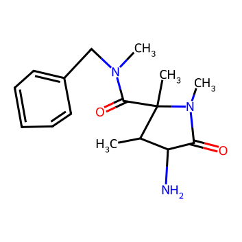 CC1C(N)C(=O)N(C)C1(C)C(=O)N(C)Cc1ccccc1